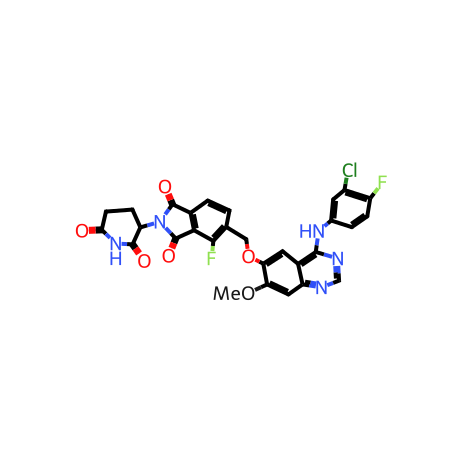 COc1cc2ncnc(Nc3ccc(F)c(Cl)c3)c2cc1OCc1ccc2c(c1F)C(=O)N(C1CCC(=O)NC1=O)C2=O